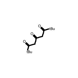 CC(C)(C)C(=O)CC(=O)CC(=O)C(C)(C)C